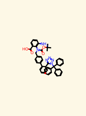 CC(C)(C)OC(=O)N(Cc1ccc(-c2ccccc2-c2nnnn2C(c2ccccc2)(c2ccccc2)c2ccccc2)cc1)c1c(N)cccc1C(=O)O